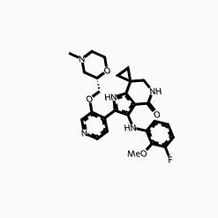 COc1c(F)cccc1Nc1c(-c2ccncc2OC[C@@H]2CN(C)CCO2)[nH]c2c1C(=O)NCC21CC1